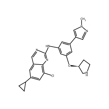 Cn1cc(-c2cc(Nc3ncc4cc(C5CC5)cc(Cl)c4n3)cc(O[C@H]3CCNC3)c2)cn1